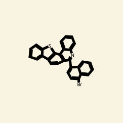 Brc1ccc(-c2nc3ccccc3c3c2ccc2c4ccccc4sc23)c2ccccc12